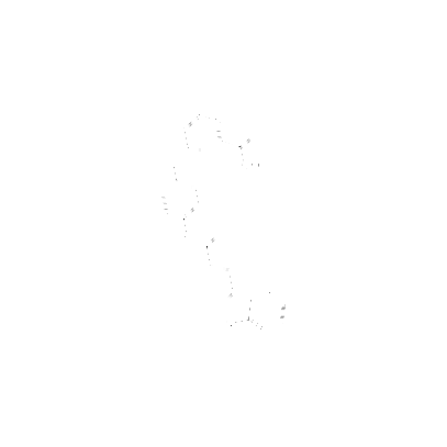 CNC(=O)c1cc(Oc2ccc(NC(=O)C=Cc3c[nH]c4ccccc34)cc2)ccn1